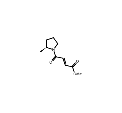 COC(=O)/C=C/C(=O)N1CCC[C@@H]1C